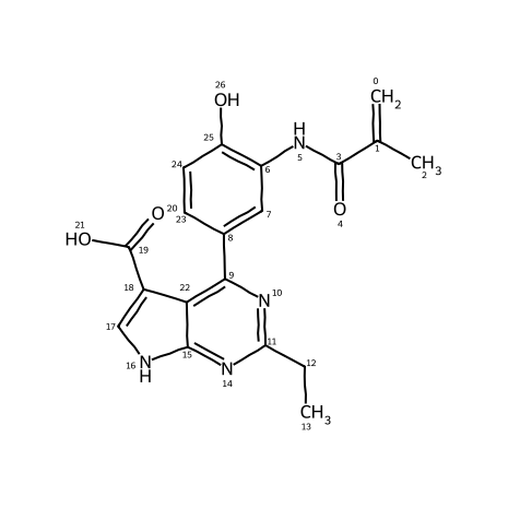 C=C(C)C(=O)Nc1cc(-c2nc(CC)nc3[nH]cc(C(=O)O)c23)ccc1O